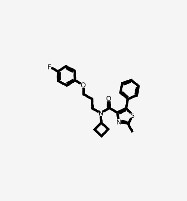 Cc1nc(C(=O)N(CCCOc2ccc(F)cc2)C2CCC2)c(-c2ccccc2)s1